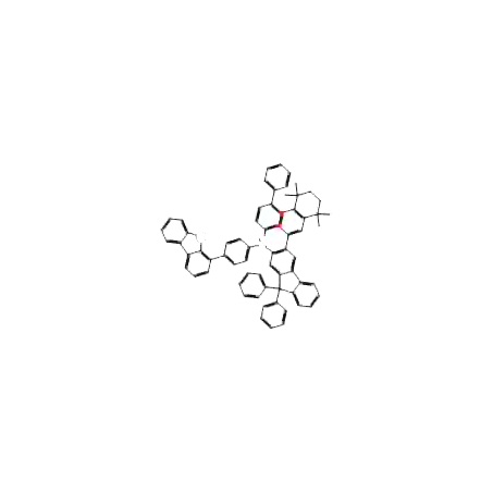 CC1(C)CCC(C)(C)c2cc(-c3cc4c(cc3N(c3ccc(-c5ccccc5)cc3)c3ccc(-c5cccc6c5oc5ccccc56)cc3)C(c3ccccc3)(c3ccccc3)c3ccccc3-4)ccc21